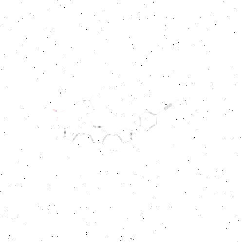 CCCCCCCCC#Cc1ccc(-c2ccc(-c3cc(OCC(CC)CCCC)c(-c4ccc(O[PH](=O)O)s4)cc3OC)s2)cc1